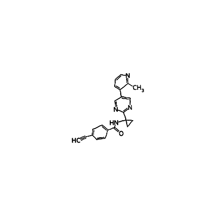 C#Cc1ccc(C(=O)NC2(c3ncc(-c4cccnc4C)cn3)CC2)cc1